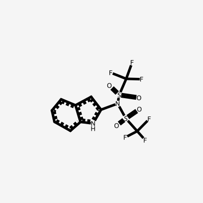 O=S(=O)(N(c1cc2ccccc2[nH]1)S(=O)(=O)C(F)(F)F)C(F)(F)F